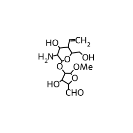 C=CC1C(CO)O[C@@H](OC2C(OC)OC(C=O)C2O)C(N)C1O